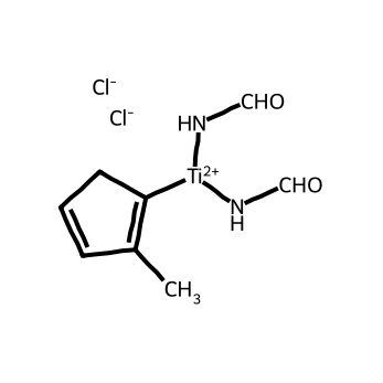 CC1=[C]([Ti+2]([NH]C=O)[NH]C=O)CC=C1.[Cl-].[Cl-]